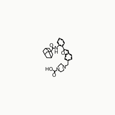 O=C(O)N1CCN(Cc2ccc3cc(-c4ccccc4NC(=O)C45CC6CC(CC(C6)C4)C5)oc3c2)CC1